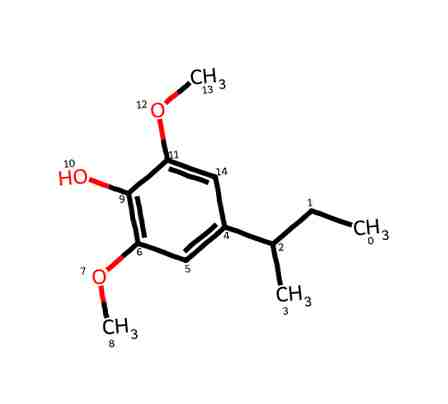 CCC(C)c1cc(OC)c(O)c(OC)c1